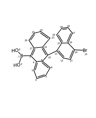 OB(O)c1c2ccccc2c(-c2ccc(Br)c3ccccc23)c2ccccc12